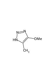 COc1nn[nH]c1C